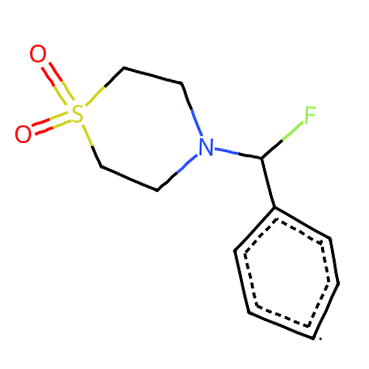 O=S1(=O)CCN(C(F)c2cc[c]cc2)CC1